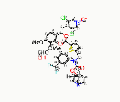 COc1ccc([C@H](Cc2c(Cl)c[n+]([O-])cc2Cl)OC(=O)c2ccc(CN(C(=O)O[C@H]3CN4CCC3CC4)c3cccc(C(F)F)c3)s2)cc1OC.O=CO